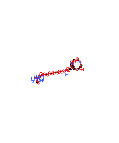 COc1cccc2cc(-c3nc([C@H]4CC[C@H](C(=O)NCCOCCOCCOCCOCCOCCOCCOCCOCCOCCNC(=O)O[C@H]5CC[C@H](CC[C@@H]6CC[C@H](C)/C=C(\C)[C@@H](O)CC(=O)[C@H](C)C[C@H](C)/C=C/C=C/C=C(\C)[C@@H](OC)CC7CCCC(O7)C(=O)C(=O)N7CCCC[C@H]7C(=O)O6)CC5)CC4)n4ncnc(N)c34)[nH]c12